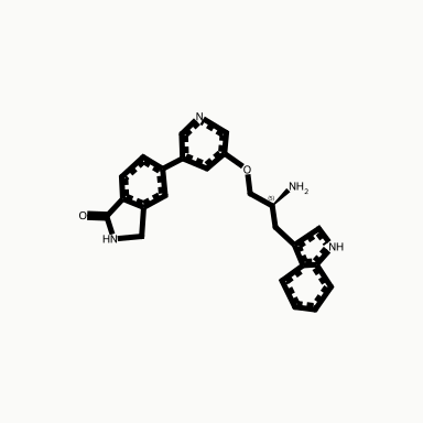 N[C@H](COc1cncc(-c2ccc3c(c2)CNC3=O)c1)Cc1c[nH]c2ccccc12